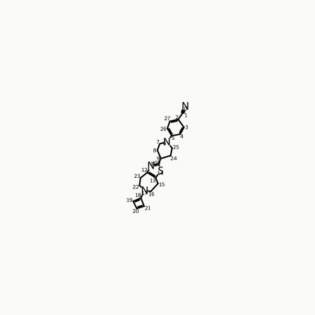 N#Cc1ccc(N2CCC(c3nc4c(s3)CCN(C3=CC=C3)CC4)CC2)cc1